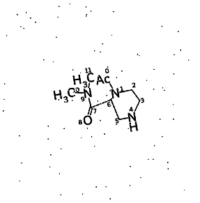 CC(=O)N1CCNCC1C(=O)N(C)C